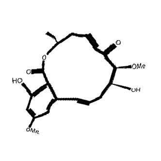 COc1cc(O)c2c(c1)/C=C/C[C@H](O)[C@H](OC)C(=O)/C=C/C[C@H](C)OC2=O